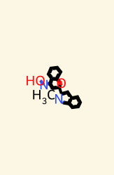 Cc1c(-c2cc3ccccc3cn2)oc2ccccc2c1=NO